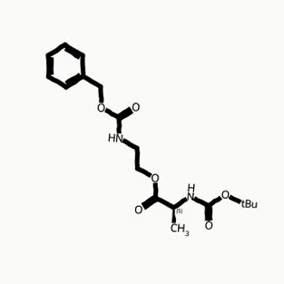 C[C@H](NC(=O)OC(C)(C)C)C(=O)OCCNC(=O)OCc1ccccc1